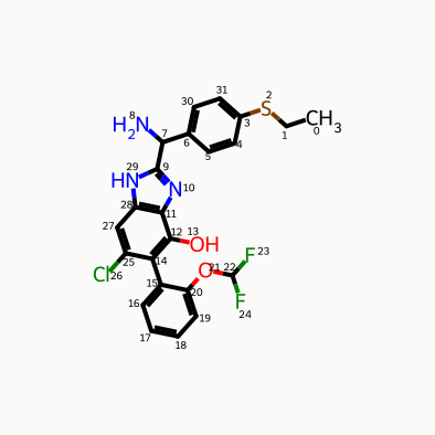 CCSc1ccc(C(N)c2nc3c(O)c(-c4ccccc4OC(F)F)c(Cl)cc3[nH]2)cc1